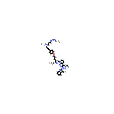 CCC1C(Nc2nnc3c(c2C)CCCN3c2nc(C(=O)O)c(CCCOc3ccc(C#CCN(C)CCCN=[N+]=NC)cc3F)s2)=Nc2ccccc21